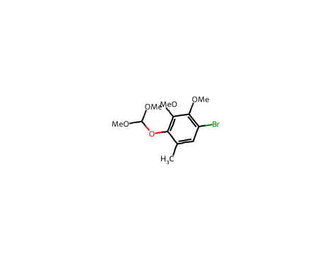 COc1c(Br)cc(C)c(OC(OC)OC)c1OC